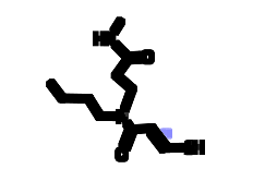 CCCCN(CCC(=O)NC)C(=O)/C=C/S